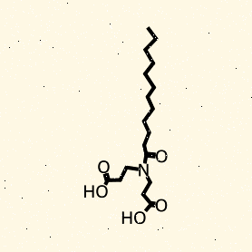 CCCCCCCCCCCC(=O)N(CCC(=O)O)CCC(=O)O